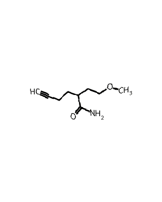 C#CCCC(CCOC)C(N)=O